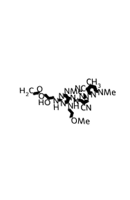 C=CC(=O)OCC(O)CNc1nc(NC)c(N=Nc2nn(-c3nc(NC)cc(C)c3C#N)cc2C#N)c(NCCCOC)n1